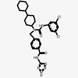 O=C(Nc1nn[nH]n1)c1ccc(CN(C(=O)Nc2cc(Cl)cc(Cl)c2)C2CCC(C3CCCCC3)CC2)cc1